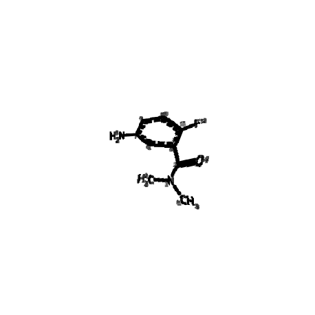 CN(C)C(=O)c1cc(N)ccc1F